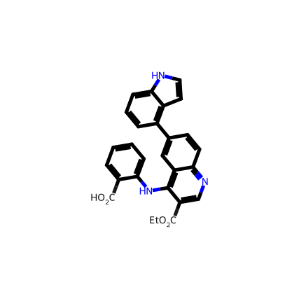 CCOC(=O)c1cnc2ccc(-c3cccc4[nH]ccc34)cc2c1Nc1ccccc1C(=O)O